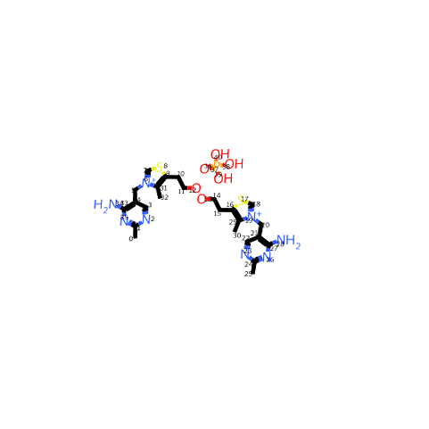 Cc1ncc(C[n+]2csc(CCOOCCc3sc[n+](Cc4cnc(C)nc4N)c3C)c2C)c(N)n1.O=P(O)(O)O